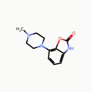 CN1CCN(c2cccc3[nH]c(=O)oc23)CC1